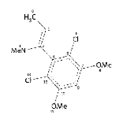 C/C=C(\NC)c1c(Cl)c(OC)cc(OC)c1Cl